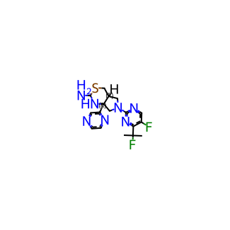 CC(C)(F)c1nc(N2C[C@H]3CSC(N)N[C@@]3(c3cnccn3)C2)ncc1F